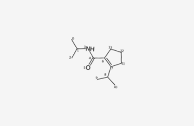 CC(C)NC(=O)C1=C(C(C)C)CCC1